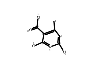 Cc1cc(Cl)nc(Cl)c1C(=O)Cl